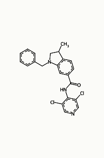 CC1CN(Cc2ccccc2)c2cc(C(=O)Nc3c(Cl)cncc3Cl)ccc21